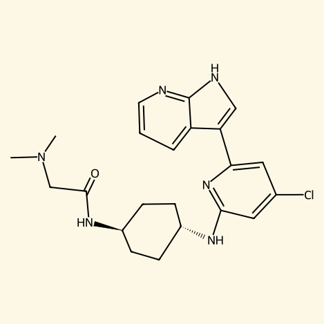 CN(C)CC(=O)N[C@H]1CC[C@H](Nc2cc(Cl)cc(-c3c[nH]c4ncccc34)n2)CC1